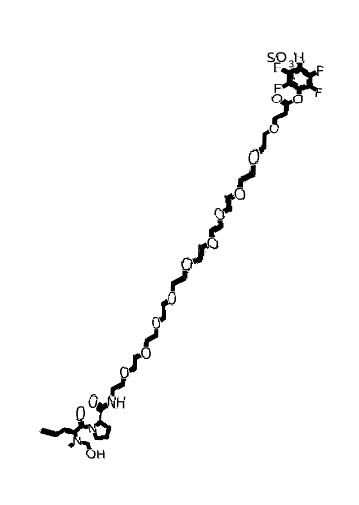 C=C/C=C(/C(=O)N1CCC[C@@H]1C(=O)NCCOCCOCCOCCOCCOCCOCCOCCOCCOCCOCCC(=O)Oc1c(F)c(F)c(S(=O)(=O)O)c(F)c1F)N(C)CO